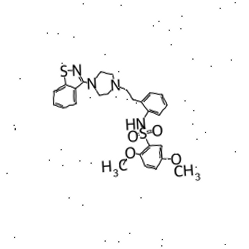 COc1ccc(OC)c(S(=O)(=O)Nc2ccccc2CCN2CCN(c3nsc4ccccc34)CC2)c1